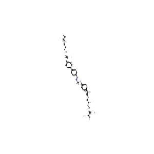 C=CC(=O)OCCCCOC(=O)Oc1ccc(-c2ccc(/C=C/C(=O)Sc3ccc(OCCCCCCOC(=O)C(=C)F)cc3)cc2)cc1